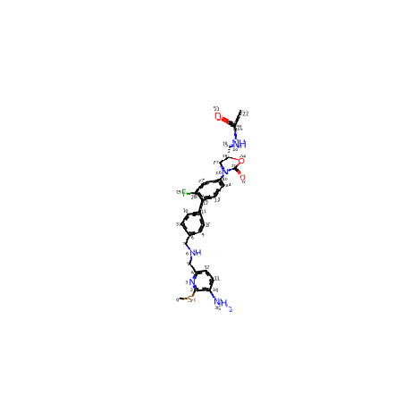 CSc1nc(CNCc2ccc(-c3ccc(N4C[C@H](CNC(C)=O)OC4=O)cc3F)cc2)ccc1N